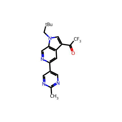 Cc1ncc(-c2cc3c(C(=O)C(F)(F)F)cn(CC(C)(C)C)c3cn2)cn1